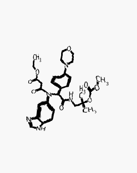 CCOC(=O)CC(=O)N(c1ccc2[nH]cnc2c1)C(C(=O)NCC(C)(C)OC(=O)OC)c1ccc(N2CCOCC2)cc1